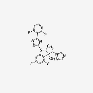 CC(Sc1nc(-c2c(F)cccc2F)ns1)C(O)(Cn1cncn1)c1ccc(F)cc1F